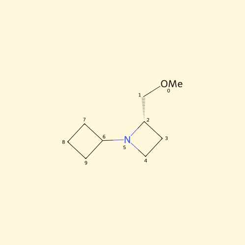 COC[C@@H]1CCN1C1CCC1